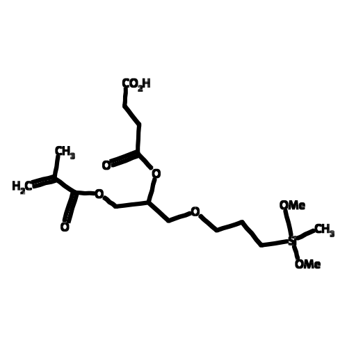 C=C(C)C(=O)OCC(COCCC[Si](C)(OC)OC)OC(=O)CCC(=O)O